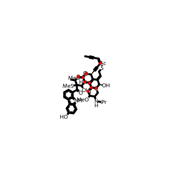 CC#C/C=C\C#C[C@H](OC1OC(C)C(SC)(C(=O)c2cccc3c2[nH]c2ccc(O)cc23)C(O)C1OC1CC(OC)C(NC(C)C)CO1)C1=C(NC(=O)OC)C(=O)C[C@H](O)/C1=C/CSC(C)=O